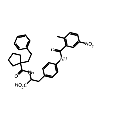 Cc1ccc([N+](=O)[O-])cc1C(=O)Nc1ccc(CC(NC(=O)C2(CCc3ccccc3)CCCC2)C(=O)O)cc1